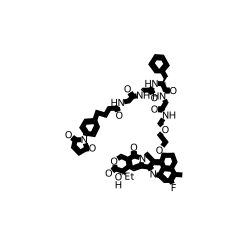 CC[C@@]1(O)C(=O)OCc2c1cc1n(c2=O)Cc2c-1nc1cc(F)c(C)c3c1c2[C@H](OCCOCNC(=O)CNC(=O)[C@H](Cc1ccccc1)NC(=O)CNC(=O)CNC(=O)CCCc1ccc(N2C(=O)C=CC2=O)cc1)CC3